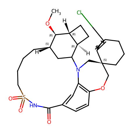 CO[C@@H]1[C@H]2CCCCS(=O)(=O)NC(=O)c3ccc4c(c3)N(C[C@@]3(CCCc5cc(Cl)ccc53)CO4)C(C2)[C@@H]2CC[C@@H]12